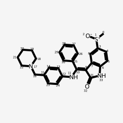 C[S+]([O-])c1ccc2c(c1)/C(=C(/Nc1ccc(CN3CCCCC3)cc1)c1ccccc1)C(=O)N2